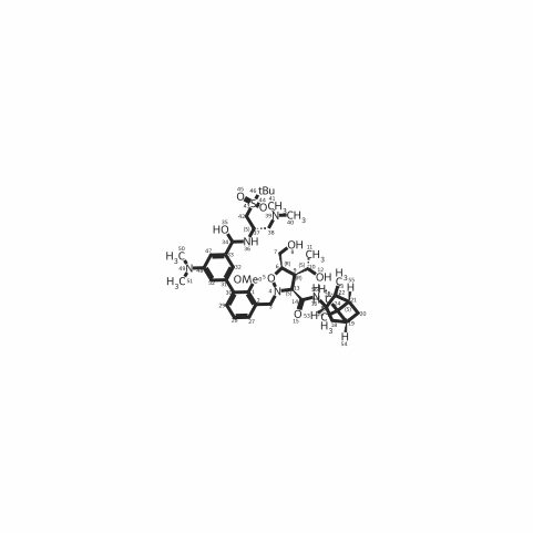 COc1c(CN2O[C@@H](CO)[C@@H]([C@H](C)O)[C@H]2C(=O)N[C@H]2C[C@H]3C[C@@H]([C@@H]2C)C3(C)C)cccc1-c1cc(C(O)N[C@@H](CN(C)C)CS(=O)(=O)C(C)(C)C)cc(N(C)C)c1